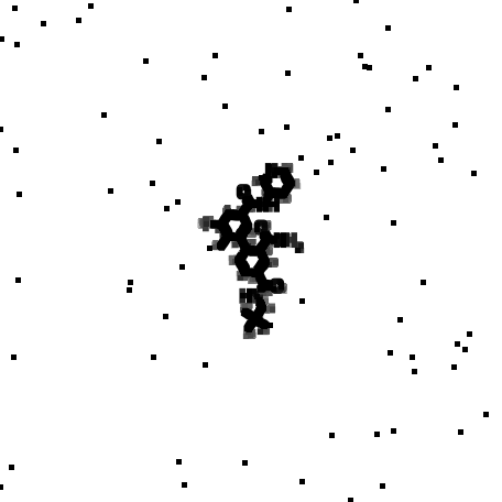 Cc1c(F)cc(C(=O)Nc2cccnc2)cc1-c1ccc(C(=O)NCC(C)(C)C)cc1C(N)=O